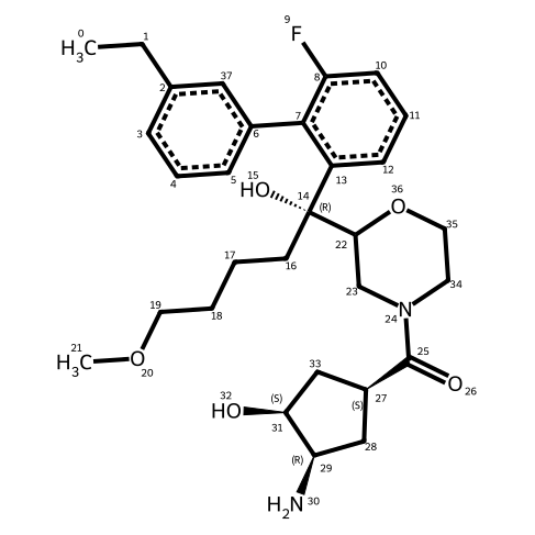 CCc1cccc(-c2c(F)cccc2[C@](O)(CCCCOC)C2CN(C(=O)[C@H]3C[C@@H](N)[C@@H](O)C3)CCO2)c1